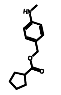 CNc1ccc(COC(=O)C2CCCC2)cc1